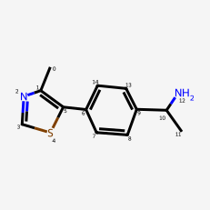 Cc1ncsc1-c1ccc(C(C)N)cc1